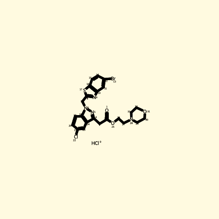 Cl.O=C(Cc1nn(Cc2nc3cc(Br)ccc3s2)c2ccc(Cl)cc12)OCCN1CCOCC1